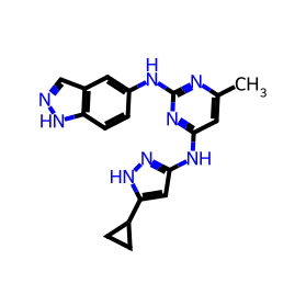 Cc1cc(Nc2cc(C3CC3)[nH]n2)nc(Nc2ccc3[nH]ncc3c2)n1